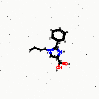 CCCCn1cc(C(=O)O)nc1-c1ccccc1